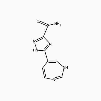 NC(=O)c1n[nH]c(C2=CNC=NC=C2)n1